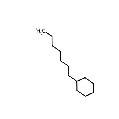 CCC[CH]CCCC1CCCCC1